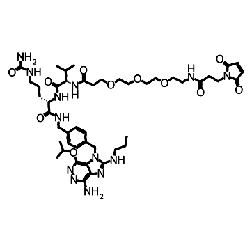 CCCNc1nc2c(N)nnc(OC(C)C)c2n1Cc1ccc(CNC(=O)[C@H](CCCNC(N)=O)NC(=O)[C@@H](NC(=O)CCOCCOCCOCCNC(=O)CCN2C(=O)C=CC2=O)C(C)C)cc1